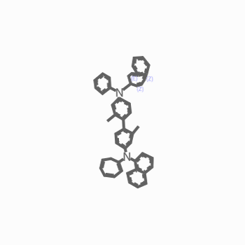 Cc1cc(N(C2=CC=CC=CC2)c2cccc3ccccc23)ccc1-c1ccc(N(c2ccccc2)C2\C=C/C=c3/cccc/c3=C\C2)cc1C